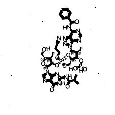 CC(C)C(=O)Nc1nc2c(ncn2[C@@H]2O[C@@H](CO)[C@@H](F)[C@H]2OP(=S)(OCCC#N)OC[C@H]2O[C@@H](n3nnc4c(NC(=O)c5ccccc5)ncnc43)[C@@H](F)[C@@H]2O[PH](=O)O)c(=O)[nH]1